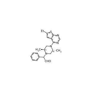 CCc1cc2c(N3C[C@H](C)N(C(C=O)c4ccccc4)C[C@H]3C)ncnc2s1